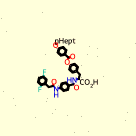 CCCCCCCOc1ccc(C(=O)Oc2ccc(C[C@H](NC(=O)c3ccc(NC(=O)Cc4cc(F)ccc4F)cc3)C(=O)O)cc2)cc1